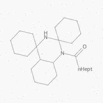 CCCCCCCC(=O)N1C2CCCCC2C2(CCCCC2)NC12CCCCC2